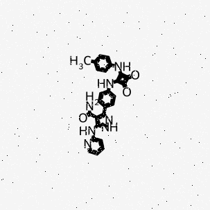 Cc1ccc(Nc2c(Nc3ccc(-c4n[nH]c(Nc5ccccn5)c4C(N)=O)cc3)c(=O)c2=O)cc1